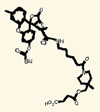 Cc1ccc2c(c1)Oc1cc(OC(=O)C(C)(C)C)ccc1C21OC(=O)c2ccc(C(=O)NCCCCCC(=O)N3CCC(C)(COC(=O)CCC(=O)O)CC3)cc21